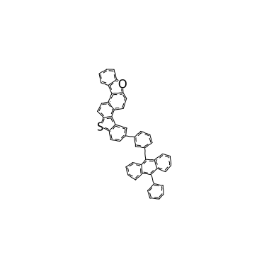 c1ccc(-c2c3ccccc3c(-c3cccc(-c4ccc5sc6ccc7c(ccc8oc9ccccc9c87)c6c5c4)c3)c3ccccc23)cc1